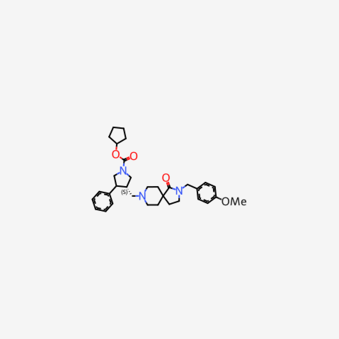 COc1ccc(CN2CCC3(CCN(C[C@H]4CN(C(=O)OC5CCCC5)CC4c4ccccc4)CC3)C2=O)cc1